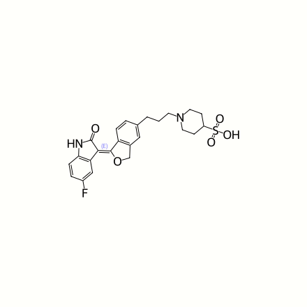 O=C1Nc2ccc(F)cc2/C1=C1\OCc2cc(CCCN3CCC(S(=O)(=O)O)CC3)ccc21